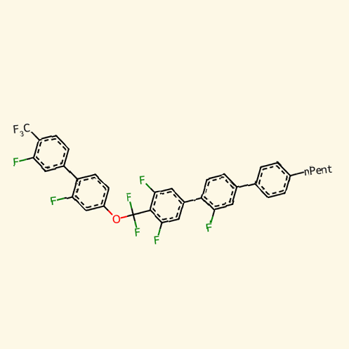 CCCCCc1ccc(-c2ccc(-c3cc(F)c(C(F)(F)Oc4ccc(-c5ccc(C(F)(F)F)c(F)c5)c(F)c4)c(F)c3)c(F)c2)cc1